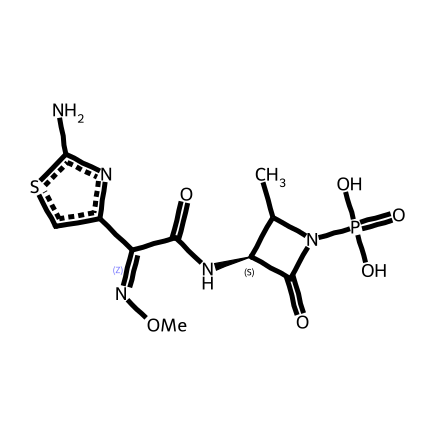 CO/N=C(\C(=O)N[C@@H]1C(=O)N(P(=O)(O)O)C1C)c1csc(N)n1